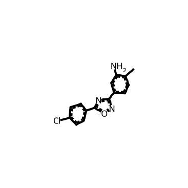 Cc1ccc(-c2noc(-c3ccc(Cl)cc3)n2)cc1N